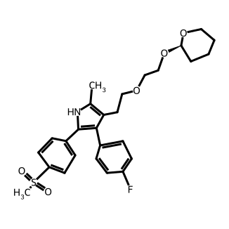 Cc1[nH]c(-c2ccc(S(C)(=O)=O)cc2)c(-c2ccc(F)cc2)c1CCOCCO[C@@H]1CCCCO1